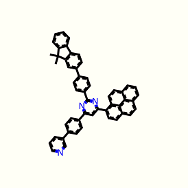 CC1(C)c2ccccc2-c2ccc(-c3ccc(-c4nc(-c5ccc(-c6cccnc6)cc5)cc(-c5ccc6ccc7cccc8ccc5c6c78)n4)cc3)cc21